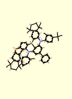 Cc1cc(C(C)(C)C)ccc1N1c2cc3c(cc2B2c4ccc5sc6cc7c(cc6c5c4N(c4ccccc4C)c4cc(-c5ccccc5)cc1c42)C(C)(C)CCC7(C)C)C(C)(C)CCC3(C)C